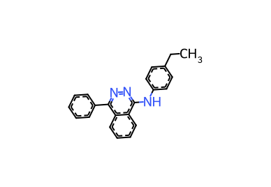 CCc1ccc(Nc2nnc(-c3ccccc3)c3ccccc23)cc1